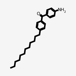 CCCCCCCCCCCCc1ccc(C(=O)c2ccc(N)cc2)cc1